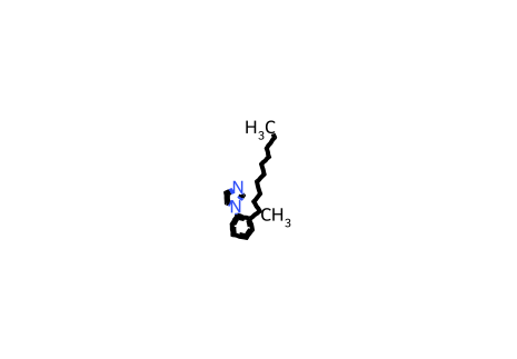 CCCCCCCCC[C@H](C)c1ccccc1-n1ccnc1